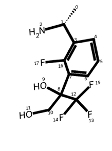 C[C@@H](N)c1cccc(C(O)(CO)C(F)(F)F)c1F